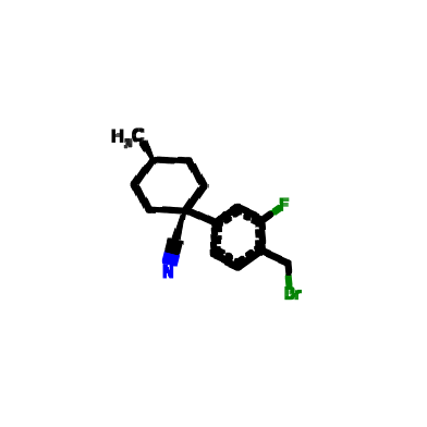 C[C@H]1CC[C@](C#N)(c2ccc(CBr)c(F)c2)CC1